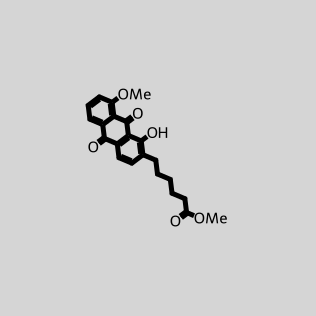 COC(=O)CCCCCc1ccc2c(c1O)C(=O)c1c(OC)cccc1C2=O